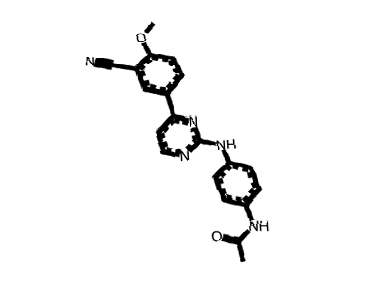 COc1ccc(-c2ccnc(Nc3ccc(NC(C)=O)cc3)n2)cc1C#N